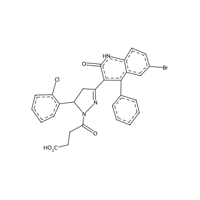 O=C(O)CCC(=O)N1N=C(c2c(-c3ccccc3)c3cc(Br)ccc3[nH]c2=O)CC1c1ccccc1Cl